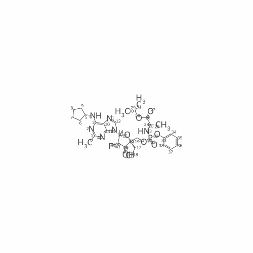 Cc1nc(NC2CCCC2)c2ncn([C@@H]3O[C@](CCl)(CO[P@](=O)(N[C@@H](C)C(=O)OC(C)C)Oc4ccccc4)[C@@H](O)[C@H]3F)c2n1